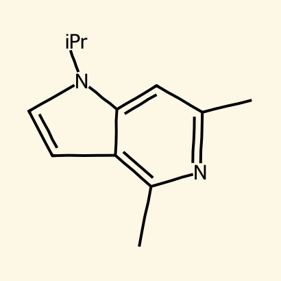 Cc1cc2c(ccn2C(C)C)c(C)n1